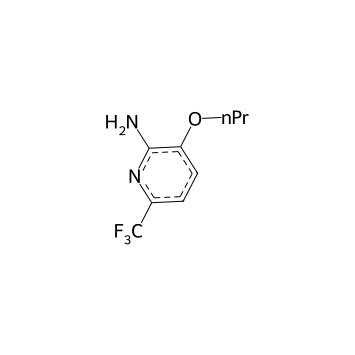 CCCOc1ccc(C(F)(F)F)nc1N